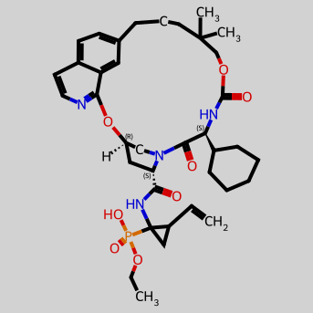 C=CC1CC1(NC(=O)[C@@H]1C[C@@H]2CN1C(=O)[C@H](C1CCCCC1)NC(=O)OCC(C)(C)CCCc1ccc3ccnc(c3c1)O2)P(=O)(O)OCC